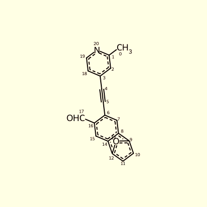 Cc1cc(C#Cc2cc3c4ccc(o4)c3cc2C=O)ccn1